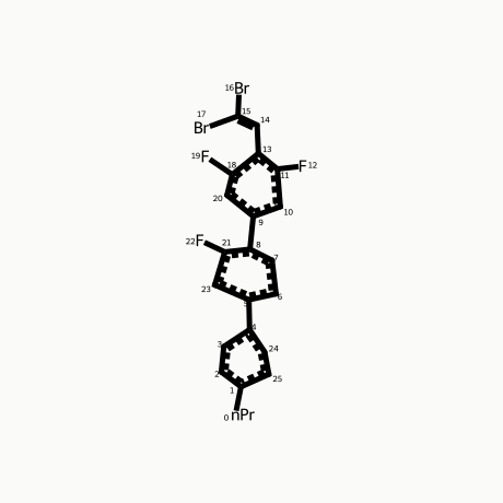 CCCc1ccc(-c2ccc(-c3cc(F)c(C=C(Br)Br)c(F)c3)c(F)c2)cc1